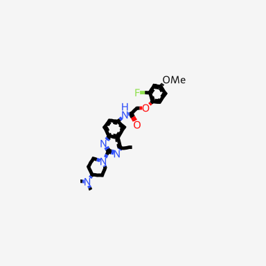 COc1ccc(OCC(=O)Nc2ccc3nc(N4CCC(N(C)C)CC4)nc(C)c3c2)c(F)c1